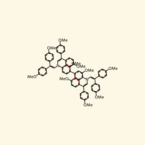 COc1ccc(C(=CN(C=C(c2ccc(OC)cc2)c2ccc(OC)cc2)c2ccc(-c3ccc(N(C=C(c4ccc(OC)cc4)c4ccc(OC)cc4)C=C(c4ccc(OC)cc4)c4ccc(OC)cc4)c(OC)c3)c(OC)c2)c2ccc(OC)cc2)cc1